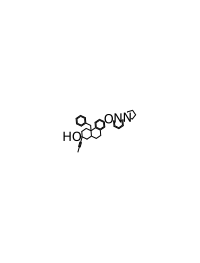 CC#CC1(O)CCC2(Cc3ccccc3)c3ccc(Oc4cccc(N5CCCC5)n4)cc3CCC2C1